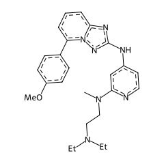 CCN(CC)CCN(C)c1cc(Nc2nc3cccc(-c4ccc(OC)cc4)n3n2)ccn1